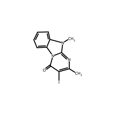 Cc1nc2n(C)c3ccccc3n2c(=O)c1I